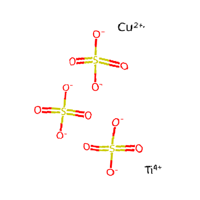 O=S(=O)([O-])[O-].O=S(=O)([O-])[O-].O=S(=O)([O-])[O-].[Cu+2].[Ti+4]